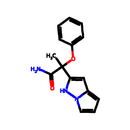 CC(Oc1ccccc1)(C(N)=O)c1cc2cccn2[nH]1